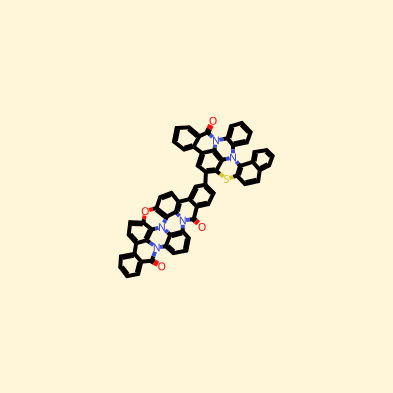 O=c1c2ccccc2c2cc(-c3ccc4c(=O)n5c6cccc7c6-n6c8c(ccc9c%10ccccc%10c(=O)n7c98)oc7ccc(c4c3)c5c76)c3c4c2n1-c1ccccc1N4c1c(ccc2ccccc12)S3